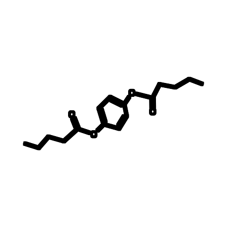 CCCCC(=O)Oc1ccc(OC(=O)CCCC)cc1